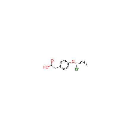 CC(Br)Oc1ccc(CC(=O)O)cc1